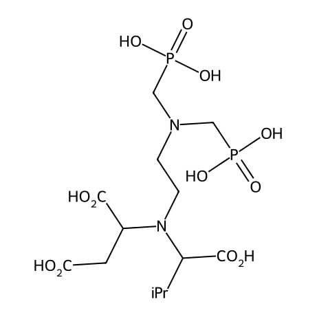 CC(C)C(C(=O)O)N(CCN(CP(=O)(O)O)CP(=O)(O)O)C(CC(=O)O)C(=O)O